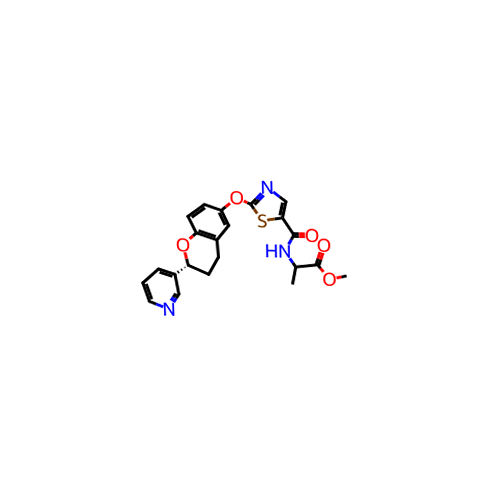 COC(=O)C(C)NC(=O)c1cnc(Oc2ccc3c(c2)CC[C@H](c2cccnc2)O3)s1